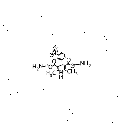 CC1=C(C(=O)OCCN)C(c2cccc([N+](=O)[O-])c2)C(C(=O)OCCN)=C(C)N1